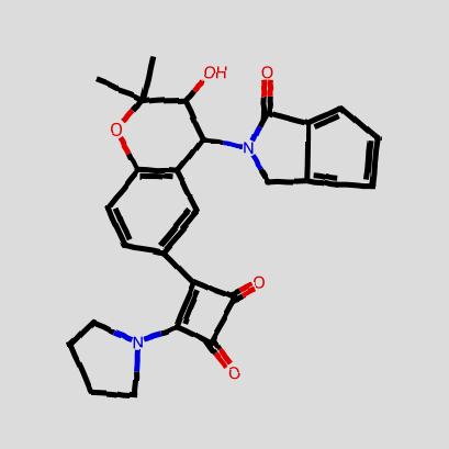 CC1(C)Oc2ccc(-c3c(N4CCCC4)c(=O)c3=O)cc2C(N2Cc3ccccc3C2=O)C1O